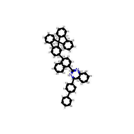 c1ccc(-c2ccc(-c3nc(-c4ccc(-c5ccc6c(c5)C5(c7ccccc7-c7ccccc75)c5ccccc5-6)c5ccccc45)nc4ccccc34)cc2)cc1